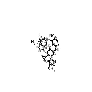 Cn1nnn(-c2cc(Nc3ncc(C#N)c(N[C@H]4C[C@H]5CCCN5C(C)(C)C4)n3)c(F)cc2C2CC2)c1=O